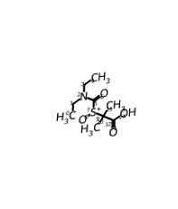 CCN(CC)C(=O)[S+]([O-])C(C)(C)C(=O)O